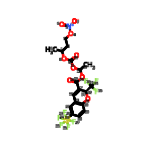 CC(CCO[N+](=O)[O-])OC(=O)OC(C)OC(=O)C1=Cc2cc(S(F)(F)(F)(F)F)ccc2O[C@@H]1C(F)(F)F